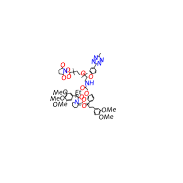 CC[C@H](C(=O)N1CCCC[C@H]1C(=O)O[C@H](CCc1ccc(OC)c(OC)c1)c1cccc(OCC(=O)NCC(Oc2ccc(-c3nnc(C)nn3)cc2)C(C)(C)OCCC(C)(C)C(=O)ON2C(=O)CCC2=O)c1)c1cc(OC)c(OC)c(OC)c1